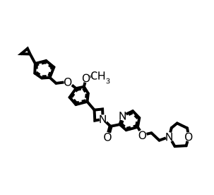 COc1cc(C2CN(C(=O)c3cc(OCCN4CCCOCC4)ccn3)C2)ccc1OCc1ccc(C2CC2)cc1